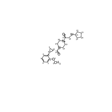 COc1ccccc1[C@H]1C[C@@H]1C(=O)N1CCN(C(=O)CSC2CCCC2)CC1